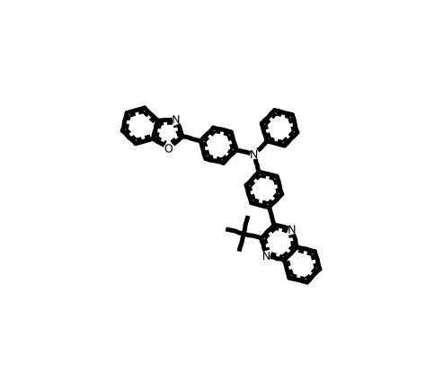 CC(C)(C)c1nc2ccccc2nc1-c1ccc(N(c2ccccc2)c2ccc(-c3nc4ccccc4o3)cc2)cc1